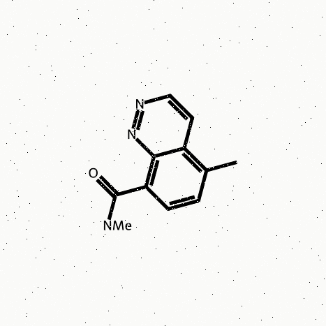 CNC(=O)c1ccc(C)c2ccnnc12